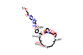 CCOCCC(=O)N1CCN(c2ncc(CNC(=O)O[C@@H]3CC[C@@H](C[C@@H](C)[C@@H]4C[C@@H](OC)[C@H](C)/C=C(\C)[C@@H](O)[C@@H](OC)C(=O)[C@H](C)C[C@H](C)/C=C/C=C/C=C(\C)[C@@H](OC)C[C@@H]5CC[C@@H](C)[C@@](O)(O5)C(=O)C(=O)N5CCCC[C@H]5C(=O)O4)C[C@H]3OC)cn2)CC1